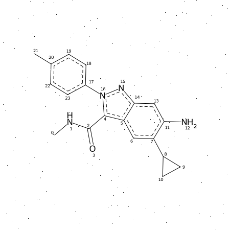 CNC(=O)c1c2cc(C3CC3)c(N)cc2nn1-c1ccc(C)cc1